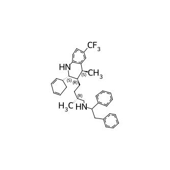 C[C@H](CC[C@@H]1[C@H](C)c2cc(C(F)(F)F)ccc2N[C@H]1C1C=CC=CC1)CNC(Cc1ccccc1)c1ccccc1